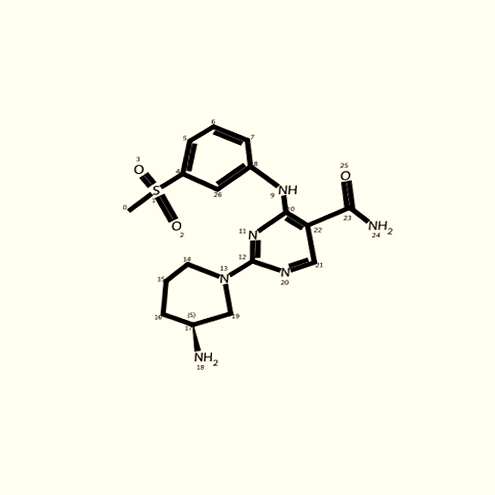 CS(=O)(=O)c1cccc(Nc2nc(N3CCC[C@H](N)C3)ncc2C(N)=O)c1